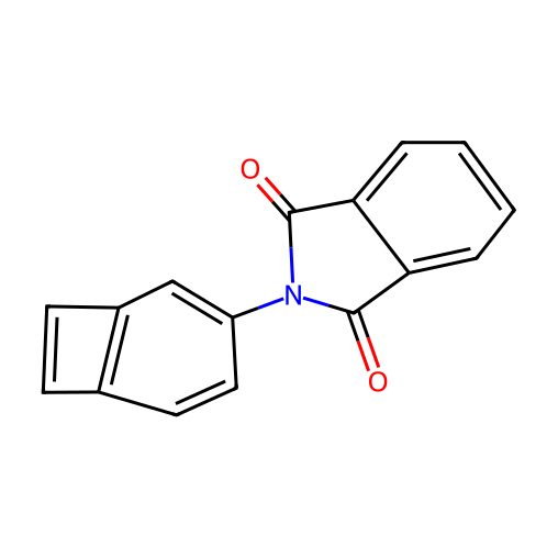 O=C1c2ccccc2C(=O)N1c1ccc2c(c1)C=C2